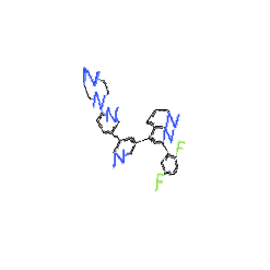 CN1CCN(c2ccc(-c3cncc(-c4cc(-c5cc(F)ccc5F)nc5ncccc45)c3)cn2)CC1